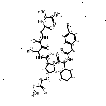 CCCCC(NC(=O)CNC(=O)C(=O)C(CCC)NC(=O)[C@@H]1C[C@@H](OCC(=O)OC(C)(C)C)CN1C(=O)C(NC(=O)Cc1ccc(Br)cc1)C1CCCCC1)C(N)=O